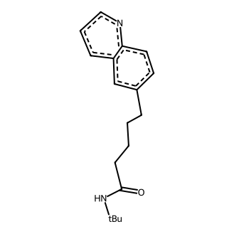 CC(C)(C)NC(=O)CCCCc1ccc2ncccc2c1